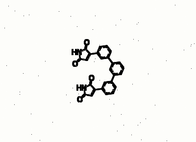 O=C1C=C(c2cccc(-c3cccc(-c4cccc(C5=CC(=O)NC5=O)c4)c3)c2)C(=O)N1